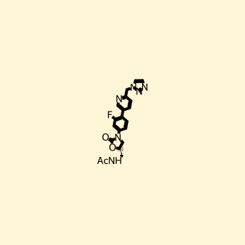 CC(=O)NC[C@H]1CN(c2ccc(-c3ccc(Cn4ccnn4)nc3)c(F)c2)C(=O)O1